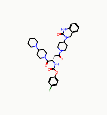 O=C(N[C@@H](CC(=O)N1CCC(N2Cc3ccccc3NC2=O)CC1)C(=O)N1CCC(N2CCCCC2)CC1)Oc1ccc(F)cc1